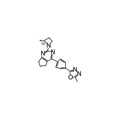 Cc1nnc(-c2ccc(-c3nc(N4CC[C@@H]4C)nc4c3CCC4)cc2)o1